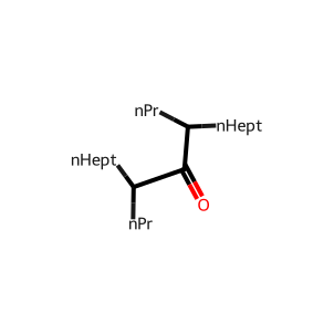 CCCCCCCC(CCC)C(=O)C(CCC)CCCCCCC